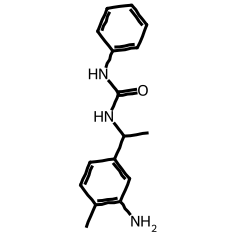 Cc1ccc(C(C)NC(=O)Nc2ccccc2)cc1N